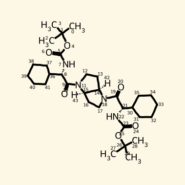 CC(C)(C)OC(=O)N[C@H](C(=O)N1CC[C@@H]2[C@H]1CCN2C(=O)[C@@H](NC(=O)OC(C)(C)C)C1CCCCC1)C1CCCCC1